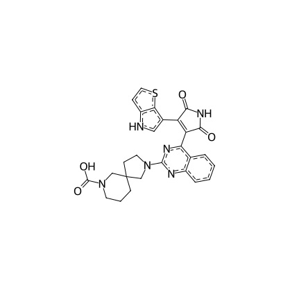 O=C1NC(=O)C(c2c[nH]c3ccsc23)=C1c1nc(N2CCC3(CCCN(C(=O)O)C3)C2)nc2ccccc12